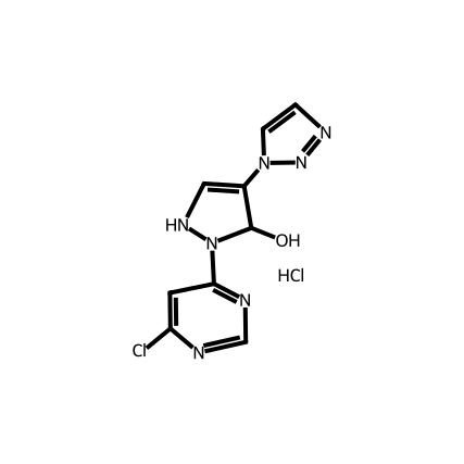 Cl.OC1C(n2ccnn2)=CNN1c1cc(Cl)ncn1